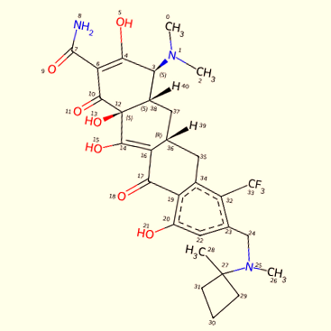 CN(C)[C@@H]1C(O)=C(C(N)=O)C(=O)[C@@]2(O)C(O)=C3C(=O)c4c(O)cc(CN(C)C5(C)CCC5)c(C(F)(F)F)c4C[C@H]3C[C@@H]12